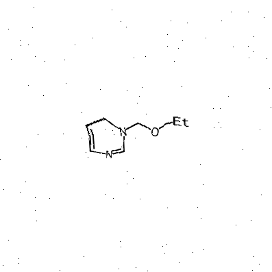 CCOCN1C=NC=CC1